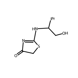 CC(C)C(CO)NC1=NC(=O)CS1